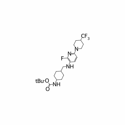 CC(C)(C)OC(=O)NC1CCC(CNc2ccc(N3CCC(C(F)(F)F)CC3)nc2F)CC1